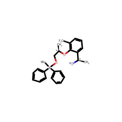 C[C@H](CO[Si](c1ccccc1)(c1ccccc1)C(C)(C)C)Oc1c([C@@H](C)N)cccc1C(F)(F)F